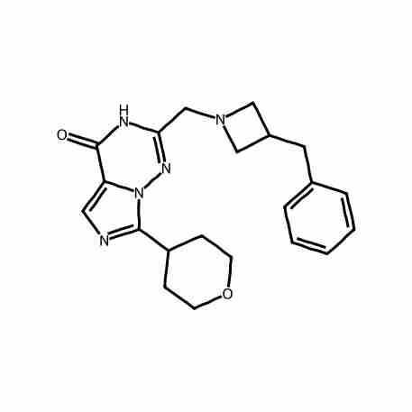 O=c1[nH]c(CN2CC(Cc3ccccc3)C2)nn2c(C3CCOCC3)ncc12